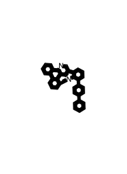 c1ccc(-c2ccc(-c3cccc4c5cnc6c7ccccc7c7cccc8c7c6c5n8c34)cc2)cc1